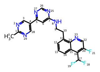 Cc1ncc(-c2cc(NCCc3cccc4c(C(F)F)c(F)cnc34)ncn2)cn1